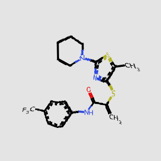 C=C(Sc1nc(N2CCCCC2)sc1C)C(=O)Nc1ccc(C(F)(F)F)cc1